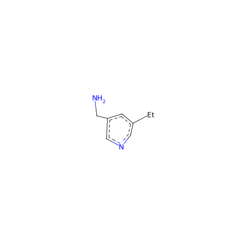 CCc1cncc(CN)c1